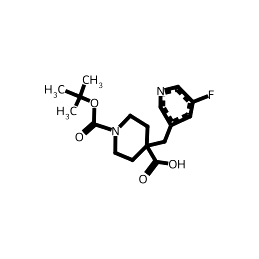 CC(C)(C)OC(=O)N1CCC(Cc2cncc(F)c2)(C(=O)O)CC1